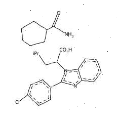 CC(C)CC(C(=O)O)n1c(-c2ccc(Cl)cc2)nc2ccccc21.NC(=O)C1CCCCC1